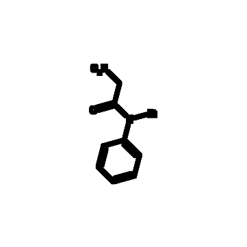 CCN(C(=O)C[N+](=O)[O-])c1ccccc1